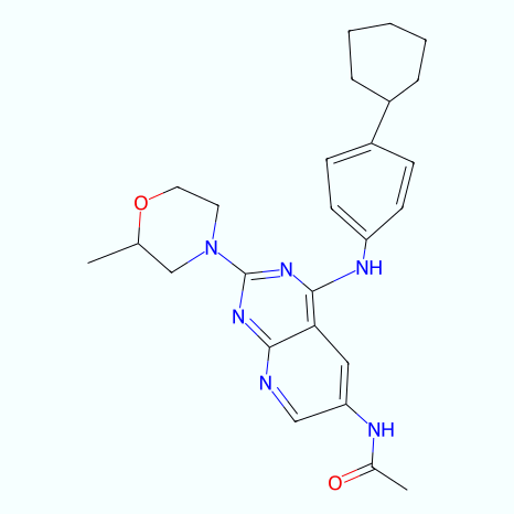 CC(=O)Nc1cnc2nc(N3CCOC(C)C3)nc(Nc3ccc(C4CCCCC4)cc3)c2c1